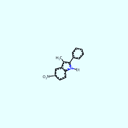 CCn1c(-c2ccccc2)c(C)c2cc([N+](=O)[O-])ccc21